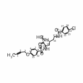 CC#CCOc1ccc(S(=O)(=O)N[C@H](CCCCNC(=O)c2ccc(Cl)cc2)C(=O)NO)cc1